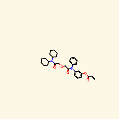 C=CC(=O)Oc1cccc(N(C(=O)COCC(=O)N(C2CCCCC2)C2CCCCC2)c2ccccc2)c1